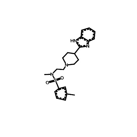 Cc1cccc(S(=O)(=O)N(C)CCN2CCC(c3nc4ccccc4[nH]3)CC2)c1